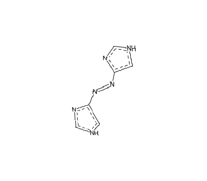 c1nc(N=Nc2c[nH]cn2)c[nH]1